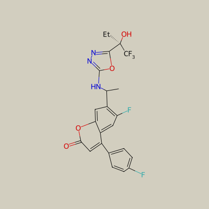 CC[C@@](O)(c1nnc(NC(C)c2cc3oc(=O)cc(-c4ccc(F)cc4)c3cc2F)o1)C(F)(F)F